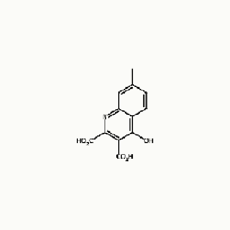 Cc1ccc2c(O)c(C(=O)O)c(C(=O)O)nc2c1